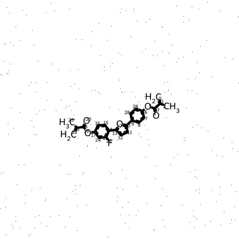 C=C(C)C(=O)Oc1ccc(-c2ccc(-c3ccc(OC(=O)C(=C)C)cc3F)o2)cc1